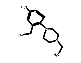 CCN1CCN(c2ccc(N)cc2CO)CC1